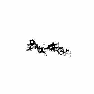 CC1(C)OCC(N[C@@H]2[C@@H]3CC4C[C@H]2C[C@](CNc2nc(NCc5ccccc5OC(F)(F)F)ncc2C#N)(C4)C3)CO1